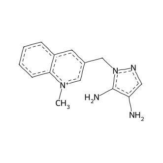 C[n+]1cc(Cn2ncc(N)c2N)cc2ccccc21